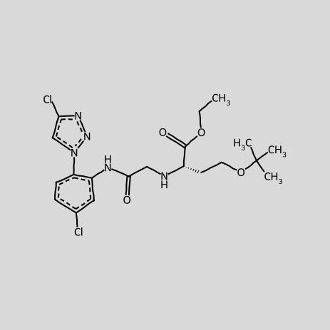 CCOC(=O)[C@H](CCOC(C)(C)C)NCC(=O)Nc1cc(Cl)ccc1-n1cc(Cl)nn1